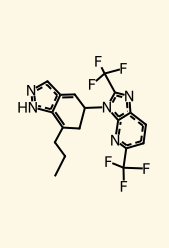 CCCC1=c2[nH]ncc2=CC(n2c(C(F)(F)F)nc3ccc(C(F)(F)F)nc32)C1